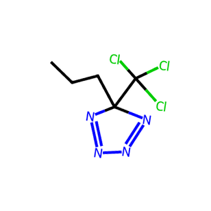 CCCC1(C(Cl)(Cl)Cl)N=NN=N1